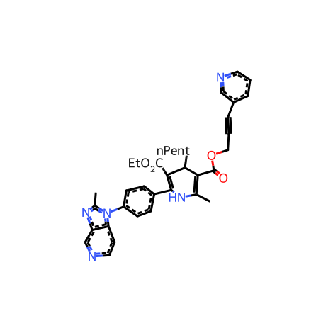 CCCCCC1C(C(=O)OCC#Cc2cccnc2)=C(C)NC(c2ccc(-n3c(C)nc4cnccc43)cc2)=C1C(=O)OCC